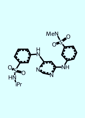 CNS(=O)(=O)c1cccc(Nc2cc(Nc3cccc(S(=O)(=O)NC(C)C)c3)ncn2)c1